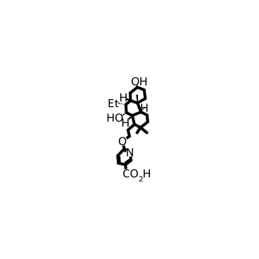 CC[C@H]1[C@@H](O)[C@H]2C(CCOc3ccc(C(=O)O)cn3)C(C)(C)CC[C@@H]2[C@@]2(C)CC[C@@H](O)C[C@@H]12